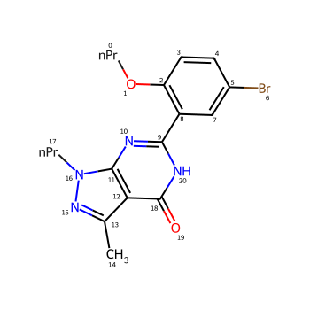 CCCOc1ccc(Br)cc1-c1nc2c(c(C)nn2CCC)c(=O)[nH]1